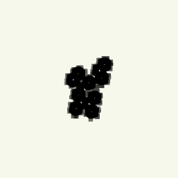 c1ccc(-c2c(-c3ccccc3)c3cc(N(c4ccc(-c5cccc6c5ccc5ccccc56)cc4)c4cccc5ccccc45)ccc3c3ccccc23)cc1